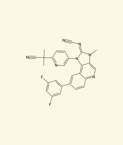 Cn1/c(=N/C#N)n(-c2ccc(C(C)(C)C#N)nc2)c2c3cc(-c4cc(F)cc(F)c4)ccc3ncc21